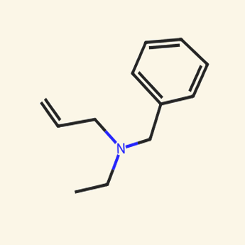 C=CCN(CC)Cc1ccccc1